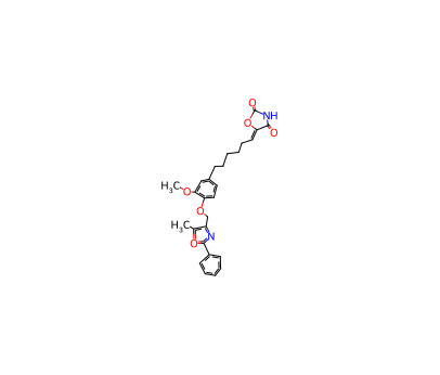 COc1cc(CCCCCC=C2OC(=O)NC2=O)ccc1OCc1nc(-c2ccccc2)oc1C